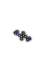 c1cnc2c(-c3ccc4c5ccccc5c5c6cc(-c7cccc8cccnc78)ccc6c6ccccc6c5c4c3)cccc2c1